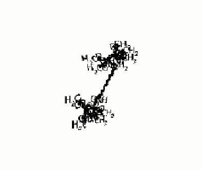 C=CC(=O)OCC(COCC(COC(=O)C=C)(COC(=O)C=C)COC(=O)NCCCCCCCCCCCCN(N)OCC(COCC(COC(=O)C=C)(COC(=O)C=C)COC(=O)C=C)(COC(=O)C=C)COC(=O)C=C)(COC(=O)C=C)COC(=O)C=C